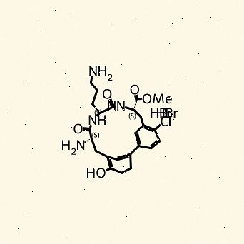 Br.Br.COC(=O)[C@@H]1Cc2cc(ccc2Cl)C2=CC(=C(O)CC2)C[C@H](N)C(=O)N[C@@H](CCCN)C(=O)N1